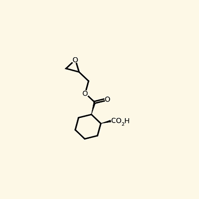 O=C(O)[C@H]1CCCC[C@H]1C(=O)OCC1CO1